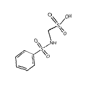 O=S(=O)(O)CNS(=O)(=O)c1ccccc1